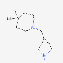 CCC1(C)CCN(CC2CN(C)C2)CC1